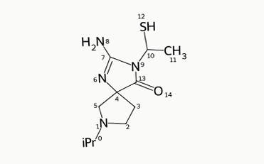 CC(C)N1CCC2(C1)N=C(N)N(C(C)S)C2=O